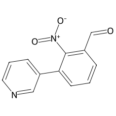 O=Cc1cccc(-c2cccnc2)c1[N+](=O)[O-]